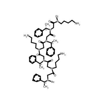 CCN(CCCCN)C(=O)CN(C(=O)CN(C(=O)CN(CCCCN)C(=O)CN(C(=O)CN(CCCCN)C(=O)CN(C(C)=O)[C@@H](C)c1ccccc1)[C@@H](C)c1ccccc1)[C@@H](C)c1ccccc1)[C@@H](C)c1ccccc1